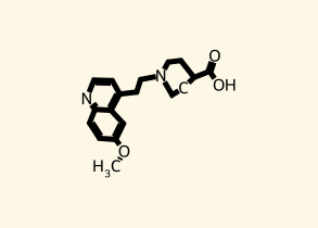 COc1ccc2nccc(CCN3CCC(C(=O)O)CC3)c2c1